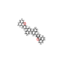 c1cc2c3c(cccc3c1)-c1ccc(-c3ccc(-c4ccc(-c5ccc6c(c5)Oc5cccc7cccc-6c57)c5ccccc45)c4ccccc34)cc1O2